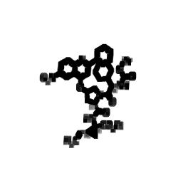 C=C[C@H]1C[C@]1(NC(=O)[C@@H]1CC(Oc2cc(-c3ccccc3)nc3ccc([N+](=O)[O-])cc23)CN1C(=O)[C@@H](NC(=O)OC(C)C)C1CCCCC1)C(=O)OCC